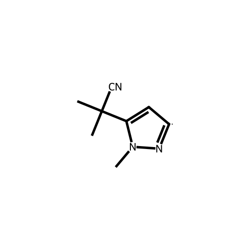 Cn1n[c]cc1C(C)(C)C#N